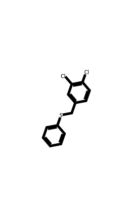 Clc1ccc(CSc2ccccc2)cc1Cl